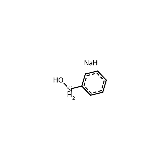 O[SiH2]c1ccccc1.[NaH]